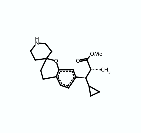 COC(=O)[C@H](C)[C@H](c1ccc2c(c1)OC1(CCNCC1)CC2)C1CC1